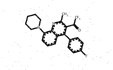 Cc1nc2c(N3CCCCC3)cccc2c(-c2ccc(F)cc2)c1C(=O)C(F)(F)F